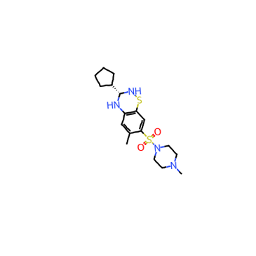 Cc1cc2c(cc1S(=O)(=O)N1CCN(C)CC1)SN[C@@H](C1CCCC1)N2